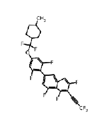 CC1CCC(C(F)(F)Oc2cc(F)c(-c3cc(F)c4c(F)c(C#CC(F)(F)F)c(F)cc4c3)c(F)c2)CC1